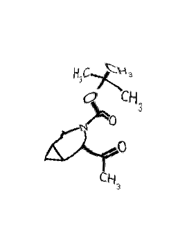 CC(=O)C1C2CC2CN1C(=O)OC(C)(C)C